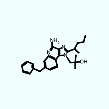 CCCC(C)c1nc2c(N)nc3cc(Cc4ccccc4)ccc3c2n1CC(C)(C)O